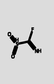 N=C(F)[SH](=O)=O